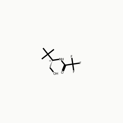 CC(C)(C)[C@@H](CO)NC(=O)C(F)(F)F